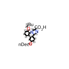 CCCCCCCCCCOc1ccc(C2C=NC(C(=O)O)=CN2c2ccccc2OCC(C)CC)cc1